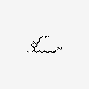 CCCCCCCC/C=C\CCCCCCC(CCCC)[C](CCCCCCCCCCC)CCCCCCCCCCCCCC